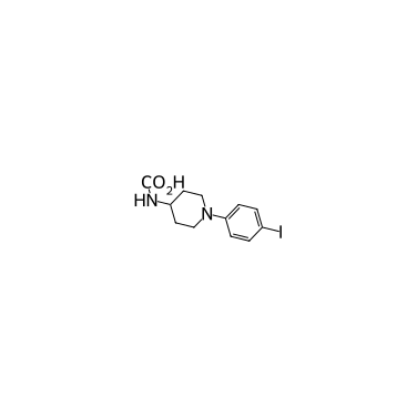 O=C(O)NC1CCN(c2ccc(I)cc2)CC1